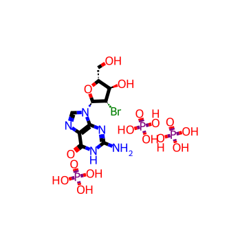 Nc1nc2c(ncn2[C@@H]2O[C@H](CO)[C@@H](O)[C@@H]2Br)c(=O)[nH]1.O=P(O)(O)O.O=P(O)(O)O.O=P(O)(O)O